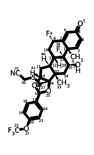 C[C@]12C=CC(=O)C=C1[C@@H](F)C[C@H]1[C@@H]3C[C@H]4OC(c5ccc(OC(F)(F)F)cc5)O[C@@]4(C(=O)SCC#N)[C@@]3(C)C[C@H](O)[C@@]12F